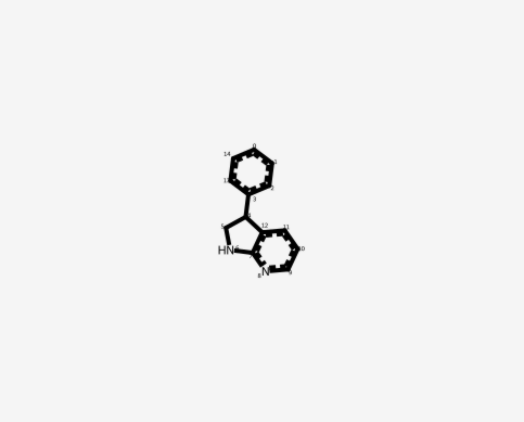 c1ccc(C2CNc3ncccc32)cc1